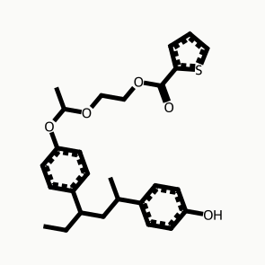 CCC(CC(C)c1ccc(O)cc1)c1ccc(OC(C)OCCOC(=O)c2cccs2)cc1